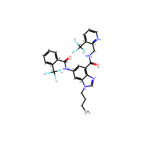 CCCCn1cnc2c(C(=O)NCc3ncccc3C(F)(F)F)cc(NC(=O)c3ccccc3C(F)(F)F)cc21